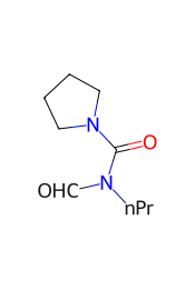 CCCN(C=O)C(=O)N1CCCC1